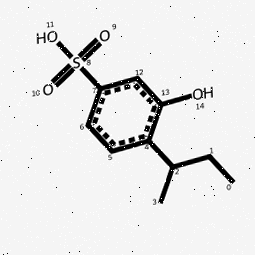 CCC(C)c1ccc(S(=O)(=O)O)cc1O